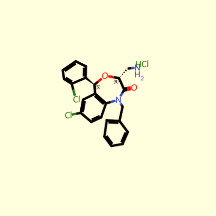 Cl.NC[C@H]1O[C@H](c2ccccc2Cl)c2cc(Cl)ccc2N(Cc2ccccc2)C1=O